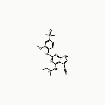 CC[C@H](C)Nc1nc(Nc2ccc(P(C)(C)=O)cc2OC)nc2[nH]cc(C#N)c12